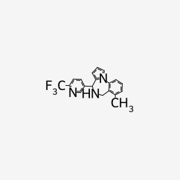 Cc1cccc2c1CNC(c1ccc(C(F)(F)F)nc1)c1cccn1-2